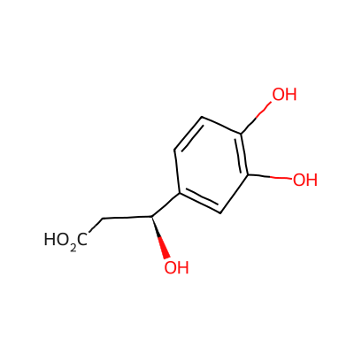 O=C(O)C[C@H](O)c1ccc(O)c(O)c1